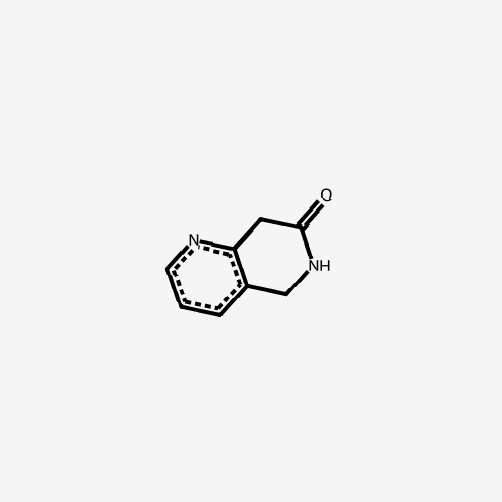 O=C1Cc2ncccc2CN1